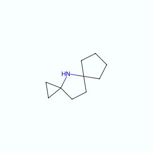 C1CCC2(C1)CCC1(CC1)N2